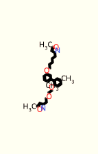 Cc1ccc(OCCOCCc2cc(C)on2)c(-c2cc(OCCCCCc3cc(C)on3)ccc2C)c1